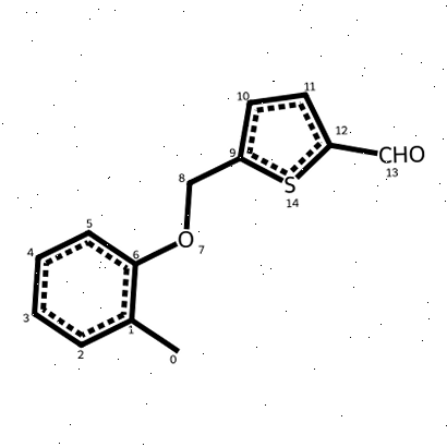 Cc1ccccc1OCc1ccc(C=O)s1